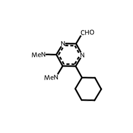 CNc1nc(C=O)nc(C2CCCCC2)c1NC